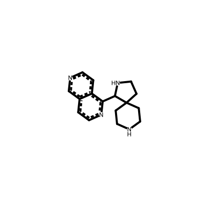 c1cc2c(C3NCCC34CCNCC4)nccc2cn1